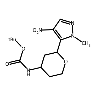 Cn1ncc([N+](=O)[O-])c1C1CC(NC(=O)OC(C)(C)C)CCO1